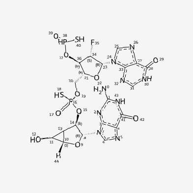 Nc1nc2c(ncn2[C@@H]2O[C@@H]3C(O)C3[C@H]2OP(=O)(S)OC[C@H]2O[C@@H](n3cnc4c(=O)[nH]cnc43)[C@@H](F)[C@@H]2O[PH](=O)S)c(=O)[nH]1